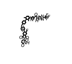 Cc1ccc(-n2cc(C(=O)NCc3nc(C(C)(C)C(F)(F)F)n[nH]3)cn2)c(C)c1-c1ccc(CN2CCN(c3cc4c(cc3F)C(=O)N(C3CCC(=O)NC3=O)C4=O)CC2)cc1